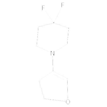 FC1(F)CCN(C2=COCC2)CC1